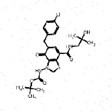 CC(C)(O)CNC(=O)C1=CC(Cc2ccc(Cl)cc2)C(=O)C2=C1SCN2NC(=O)OC(C)(C)C